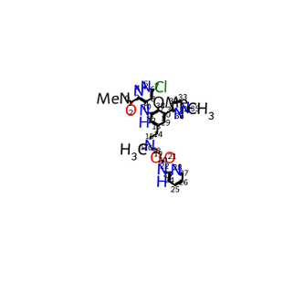 CNC(=O)c1nnc(Cl)cc1Nc1cc(CCN(C)COC(=O)Nc2ccccn2)cc(-c2ccn(C)n2)c1OC